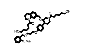 COc1ccccc1COCCCOc1ccc(C2CCN(C(=O)CCCCCO)CC2OCc2ccc3c(c2)N(C(=O)CCCCCO)CCC3)cc1